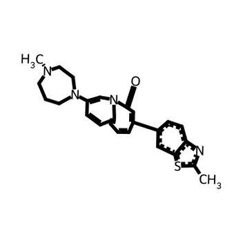 Cc1nc2ccc(C3=C\C(=O)N4C=C(N5CCCN(C)CC5)C=C\C4=C/C=C/3)cc2s1